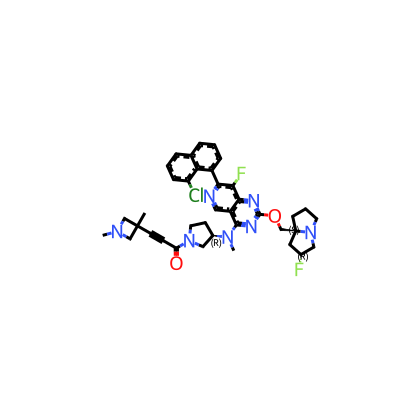 CN1CC(C)(C#CC(=O)N2CC[C@@H](N(C)c3nc(OC[C@@]45CCCN4C[C@H](F)C5)nc4c(F)c(-c5cccc6cccc(Cl)c56)ncc34)C2)C1